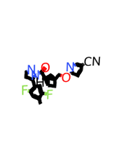 Cc1cc(F)c(C2CC=NN2C(=O)[C@H]2CC3(COc4ccc(C#N)cn4)CC2C3)cc1F